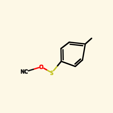 Cc1ccc(SOC#N)cc1